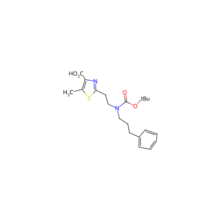 Cc1sc(CCN(CCCc2ccccc2)C(=O)OC(C)(C)C)nc1C(=O)O